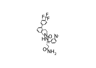 CN(C)c1cccc([C@H](CCC(N)=O)NC(=O)N2CCc3c(cccc3-c3ccc(C(F)(F)F)cc3)C2)c1